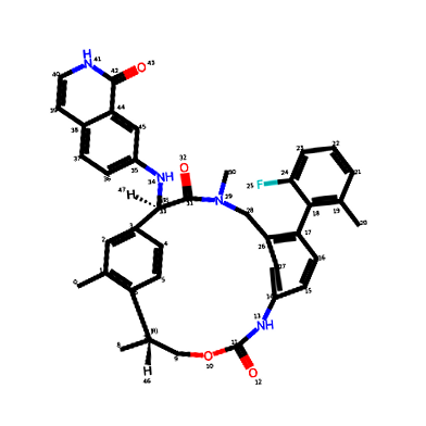 Cc1cc2ccc1[C@@H](C)COC(=O)Nc1ccc(-c3c(C)cccc3F)c(c1)CN(C)C(=O)[C@@H]2Nc1ccc2cc[nH]c(=O)c2c1